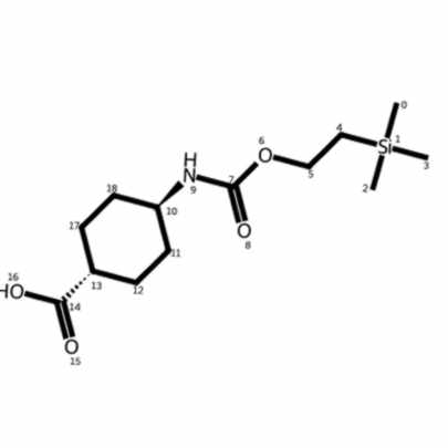 C[Si](C)(C)CCOC(=O)N[C@H]1CC[C@H](C(=O)O)CC1